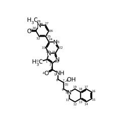 Cc1c(C(=O)NC[C@H](O)CN2CCc3ccccc3C2)nc2cnc(-c3ccn(C)c(=O)c3)cn12